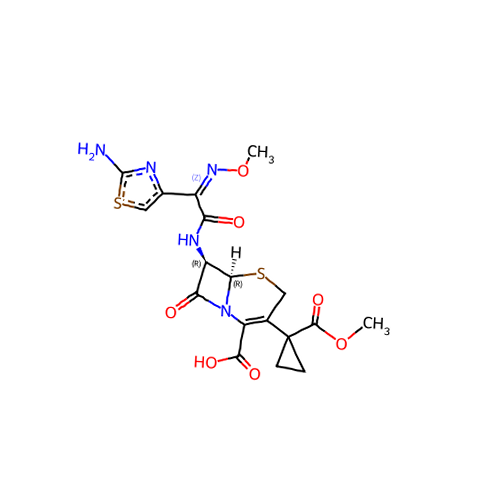 CO/N=C(\C(=O)N[C@@H]1C(=O)N2C(C(=O)O)=C(C3(C(=O)OC)CC3)CS[C@H]12)c1csc(N)n1